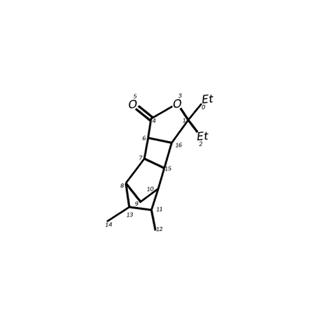 CCC1(CC)OC(=O)C2C3C4CC(C(C)C4C)C3C21